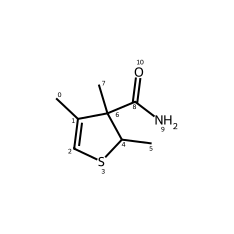 CC1=CSC(C)C1(C)C(N)=O